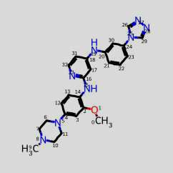 COc1cc(N2CCN(C)CC2)ccc1Nc1cc(Nc2cccc(-n3cnnc3)c2)ccn1